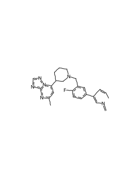 C=N/C=C(\C=C/C)c1ccc(F)c(CN2CCCC(c3cc(C)nc4ncnn34)C2)c1